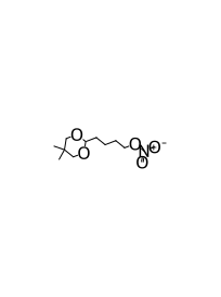 CC1(C)COC(CCCCO[N+](=O)[O-])OC1